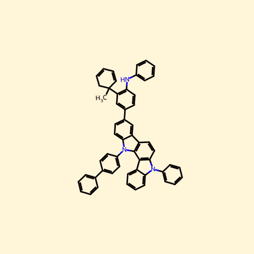 CC1(c2cc(-c3ccc4c(c3)c3ccc5c(c6ccccc6n5-c5ccccc5)c3n4-c3ccc(-c4ccccc4)cc3)ccc2Nc2ccccc2)C=CC=CC1